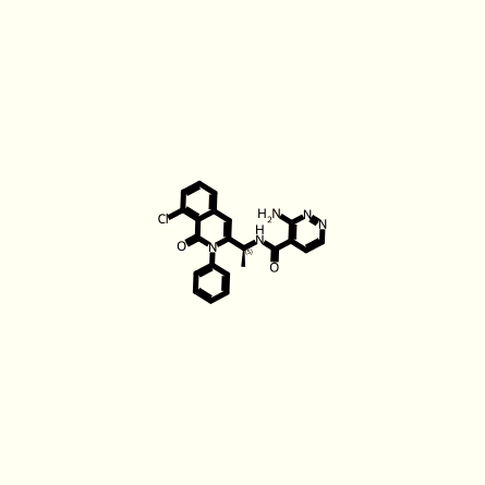 C[C@H](NC(=O)c1ccnnc1N)c1cc2cccc(Cl)c2c(=O)n1-c1ccccc1